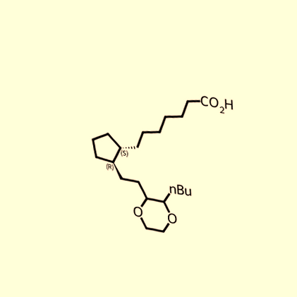 CCCCC1OCCOC1CC[C@H]1CCC[C@@H]1CCCCCCC(=O)O